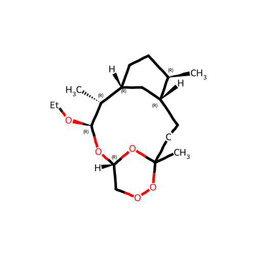 CCO[C@@H]1O[C@H]2COOC(C)(CC[C@@H]3C[C@@H](CC[C@H]3C)[C@H]1C)O2